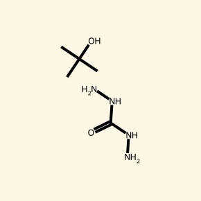 CC(C)(C)O.NNC(=O)NN